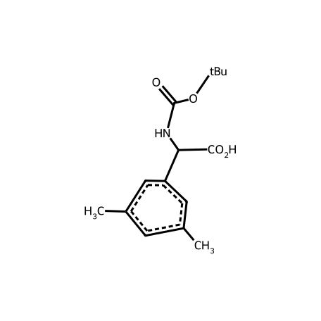 Cc1cc(C)cc(C(NC(=O)OC(C)(C)C)C(=O)O)c1